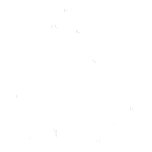 CCN(C(N)=O)C(=O)CNC(=O)c1ccc(C)c(C(=O)c2ccc(Nc3ccc(F)cc3F)cc2Cl)c1